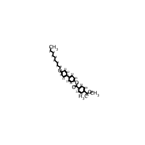 CCCCCCCCCOc1ccc(-c2ccc(OC(=O)c3ccc(C(C)OC)cc3)cc2)cc1